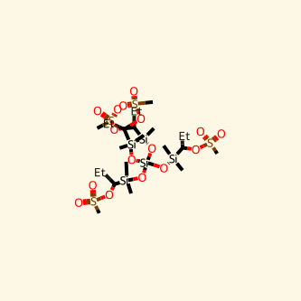 CCC(OS(C)(=O)=O)[Si](C)(C)O[Si](O[Si](C)(C)C(CC)OS(C)(=O)=O)(O[Si](C)(C)C(CC)OS(C)(=O)=O)O[Si](C)(C)C(CC)OS(C)(=O)=O